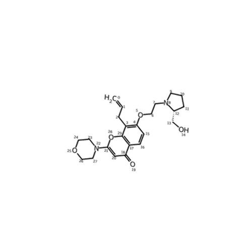 C=CCc1c(OCCN2CCC[C@@H]2CO)ccc2c(=O)cc(N3CCOCC3)oc12